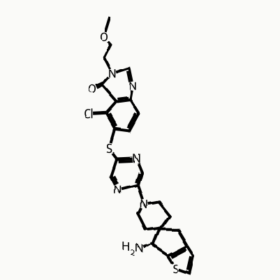 COCCn1cnc2ccc(Sc3cnc(N4CCC5(CC4)Cc4ccsc4[C@H]5N)cn3)c(Cl)c2c1=O